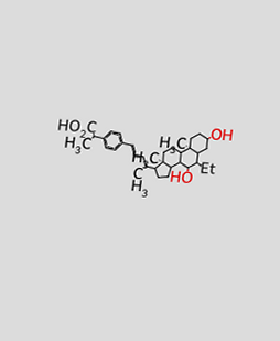 CC[C@@H]1C2C[C@H](O)CC[C@]2(C)C2CC[C@@]3(C)C(CCC3[C@H](C)C/C=C/c3ccc(C(C)C(=O)O)cc3)C2[C@@H]1O